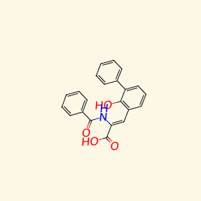 O=C(O)C(=Cc1cccc(-c2ccccc2)c1O)NC(=O)c1ccccc1